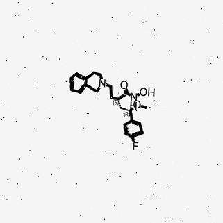 CO[C@H](C[C@H](CCN1CCc2ccccc2C1)C(=O)NO)c1ccc(F)cc1